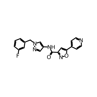 O=C(Nc1cnn(Cc2cccc(F)c2)c1)c1cc(-c2ccncc2)on1